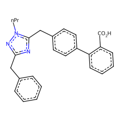 CCCn1nc(Cc2ccccc2)nc1Cc1ccc(-c2ccccc2C(=O)O)cc1